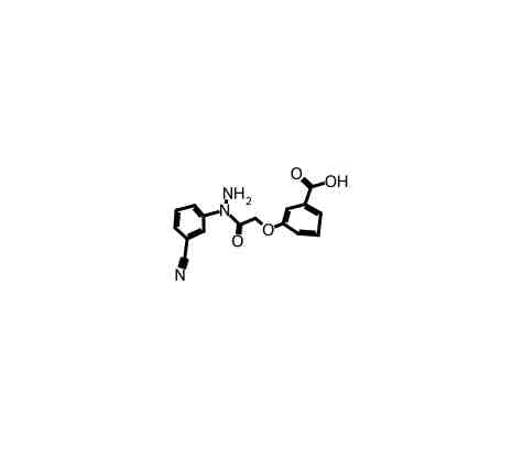 N#Cc1cccc(N(N)C(=O)COc2cccc(C(=O)O)c2)c1